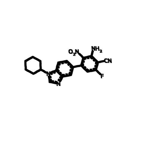 N#Cc1c(F)cc(-c2ccc3c(c2)ncn3C2CCCCC2)c([N+](=O)[O-])c1N